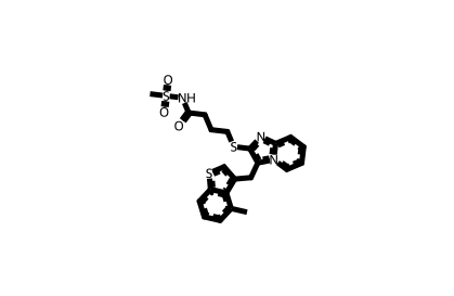 Cc1cccc2scc(Cc3c(SCCCC(=O)NS(C)(=O)=O)nc4ccccn34)c12